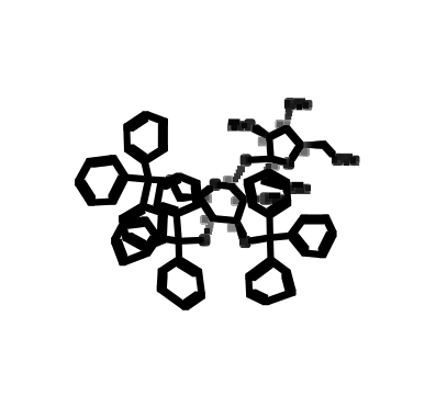 COC[C@H]1O[C@@](COC)(O[C@H]2O[C@H](COC(c3ccccc3)(c3ccccc3)c3ccccc3)[C@@H](OC(c3ccccc3)(c3ccccc3)c3ccccc3)[C@H](OC(c3ccccc3)(c3ccccc3)c3ccccc3)[C@H]2OC)[C@@H](OC)[C@@H]1OC